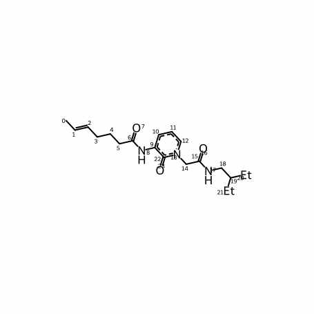 CC=CCCCC(=O)Nc1cccn(CC(=O)NCC(CC)CC)c1=O